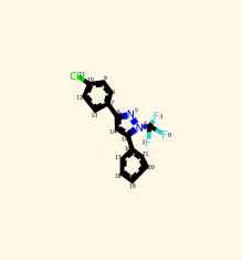 FC(F)(F)n1nc(-c2ccc(Cl)cc2)cc1-c1ccccc1